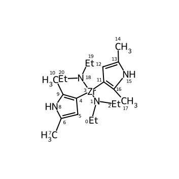 CC[N](CC)[Zr]([c]1cc(C)[nH]c1C)([c]1cc(C)[nH]c1C)[N](CC)CC